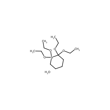 CCOC1(OCC)CCCC[Si]1(OCC)OCC.O